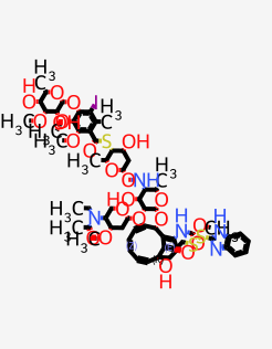 CCN(C(C)=O)C1COC(OC2C(OC3C#C/C=C\C#C[C@@]4(O)CC(=O)C(NC(=O)OC)=C3/C4=C\CSSc3nc4ccccc4[nH]3)OC(C)C(NOC3CC(O)C(SC(=O)c4c(C)c(I)c(OC5OC(C)C(O)C(OC)C5O)c(OC)c4OC)C(C)O3)C2O)CC1OC